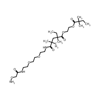 CCC(C)(C)C(=O)OCCOC(=O)C(C)(CC)CC(C)(C)C(=O)NCCOCCOCCNC(=O)CON